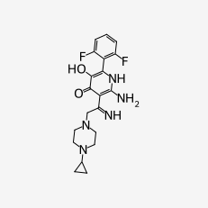 N=C(CN1CCN(C2CC2)CC1)c1c(N)[nH]c(-c2c(F)cccc2F)c(O)c1=O